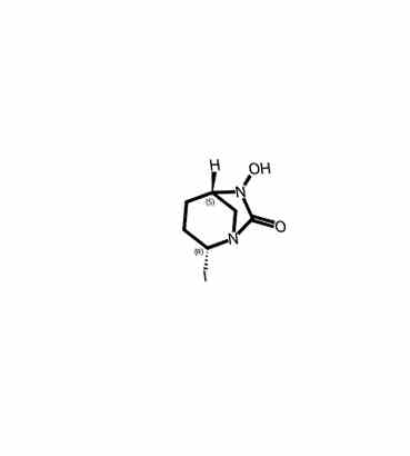 O=C1N(O)[C@H]2CC[C@@H](I)N1C2